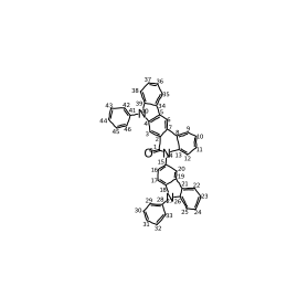 O=c1c2cc3c(cc2c2ccccc2n1-c1ccc2c(c1)c1ccccc1n2-c1ccccc1)c1ccccc1n3-c1ccccc1